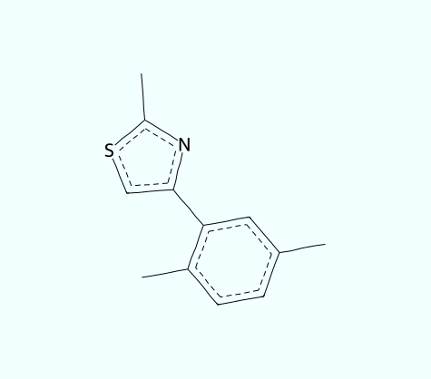 Cc1ccc(C)c(-c2csc(C)n2)c1